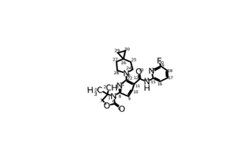 CC1(C)COC(=O)N1c1ccc(C(=O)Nc2cccc(F)n2)c(N2CCC3(CC2)CC3)n1